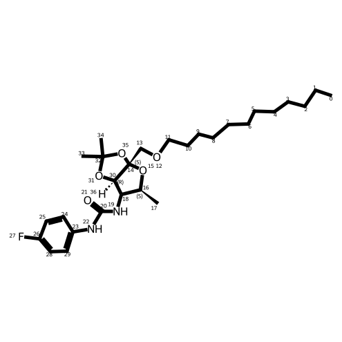 CCCCCCCCCCCCOC[C@@]12O[C@@H](C)C(NC(=O)Nc3ccc(F)cc3)[C@H]1OC(C)(C)O2